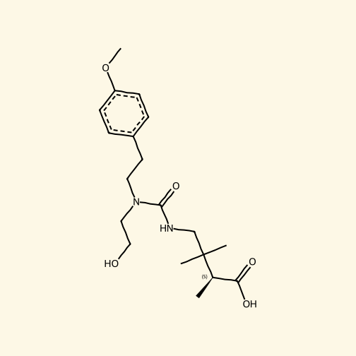 COc1ccc(CCN(CCO)C(=O)NCC(C)(C)[C@H](C)C(=O)O)cc1